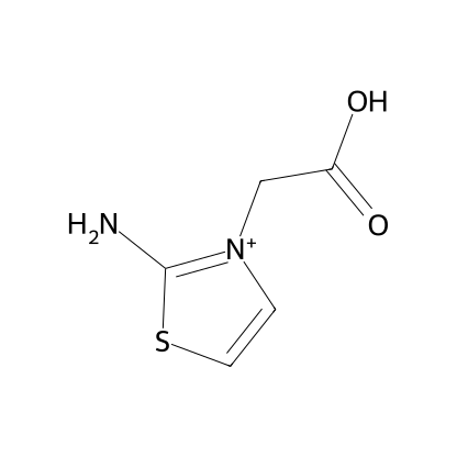 Nc1scc[n+]1CC(=O)O